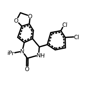 CC(C)N1C(=O)NC(c2ccc(Cl)c(Cl)c2)c2cc3c(cc21)OCO3